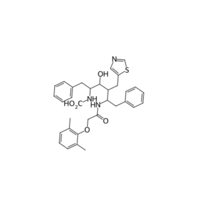 Cc1cccc(C)c1OCC(=O)NC(Cc1ccccc1)C(Cc1cncs1)C(O)C(Cc1ccccc1)NC(=O)O